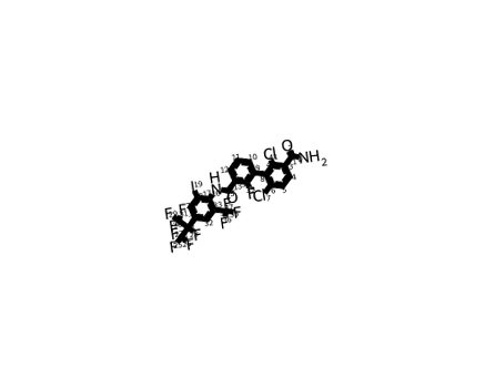 NC(=O)c1ccc(Cl)c(-c2cccc(C(=O)Nc3c(I)cc(C(F)(C(F)(F)F)C(F)(F)F)cc3C(F)(F)F)c2F)c1Cl